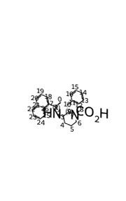 C[C@@H](NC1CCCN(C(=O)O)[C@H]1Cc1ccccc1)c1cccc2ccccc12